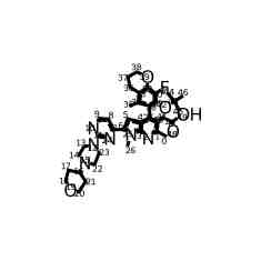 Cc1nc2c(cc(-c3ccnc(N4CCN(C5CCOCC5)CC4)n3)n2C)c(-c2cc(F)c3c(c2C)CCCO3)c1[C@H](OC(C)(C)C)C(=O)O